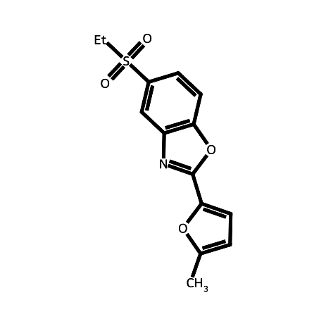 CCS(=O)(=O)c1ccc2oc(-c3ccc(C)o3)nc2c1